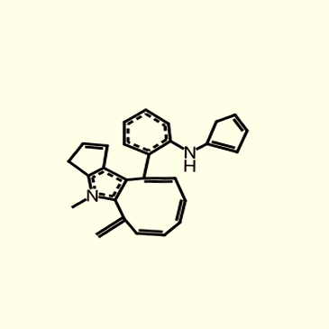 C=C1\C=C/C=C\C=C(\c2ccccc2NC2=CC=CC2)c2c3c(n(C)c21)CC=C3